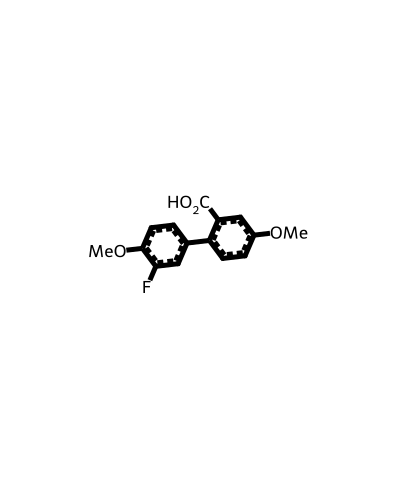 COc1ccc(-c2ccc(OC)c(F)c2)c(C(=O)O)c1